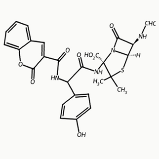 CC1(C)S[C@@H]2[C@H](NC=O)C(=O)N2[C@@]1(NC(=O)C(NC(=O)c1cc2ccccc2oc1=O)c1ccc(O)cc1)C(=O)O